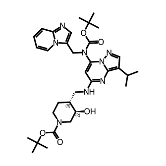 CC(C)c1cnn2c(N(Cc3cnc4ccccn34)C(=O)OC(C)(C)C)cc(NC[C@H]3CCN(C(=O)OC(C)(C)C)C[C@@H]3O)nc12